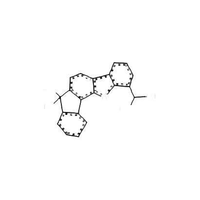 CC(C)c1cccc2c1oc1c3c(ccc12)C(C)(C)c1ccccc1-3